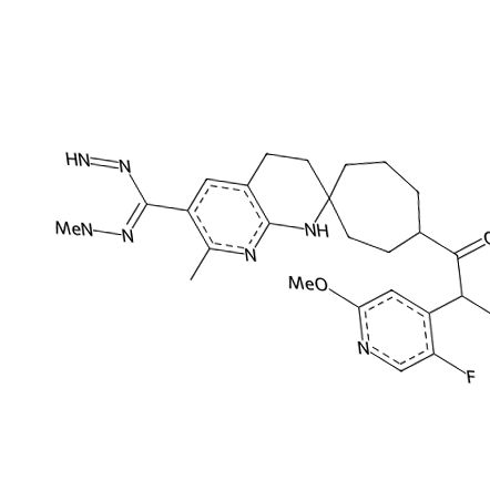 CN/N=C(\N=N)c1cc2c(nc1C)NC1(CCCC(C(=O)C(C)c3cc(OC)ncc3F)CC1)CC2